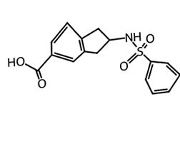 O=C(O)c1ccc2c(c1)CC(NS(=O)(=O)c1ccccc1)C2